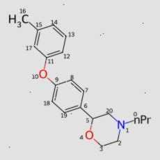 CCCN1CCOC(c2ccc(Oc3cccc(C)c3)cc2)C1